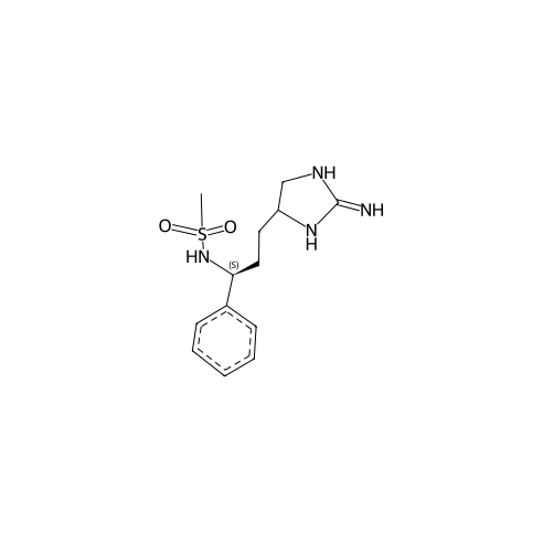 CS(=O)(=O)N[C@@H](CCC1CNC(=N)N1)c1ccccc1